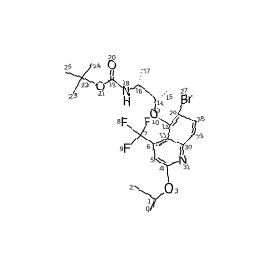 CC(C)Oc1cc(C(F)(F)F)c2c(O[C@@H](C)[C@@H](C)NC(=O)OC(C)(C)C)c(Br)ccc2n1